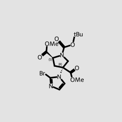 COC(=O)[C@@H]1C[C@@](C(=O)OC)(n2ccnc2Br)CN1C(=O)OC(C)(C)C